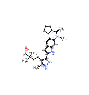 C=C(C1CCCC1)N(C)c1ccc2cc(-c3n[nH]c(C)c3CCC(C)(C)CO)[nH]c2c1